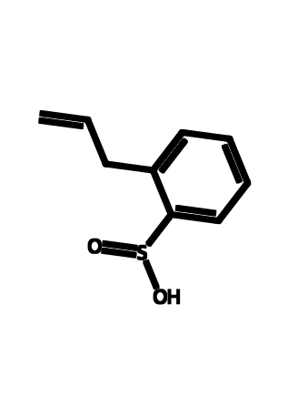 C=CCc1ccccc1S(=O)O